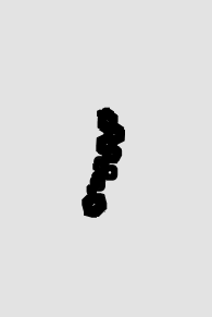 O=C(COCc1ccccc1)OC1=CCc2c1ccc1c2ccc2ccccc21